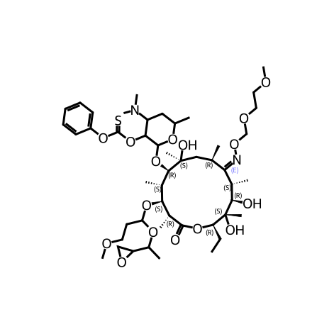 CC[C@H]1OC(=O)[C@H](C)[C@@H](OC(CCOC)OC(C)C2CO2)[C@H](C)[C@@H](OC2OC(C)CC(N(C)C)C2OC(=S)Oc2ccccc2)[C@@](C)(O)C[C@@H](C)/C(=N\OCOCCOC)[C@H](C)[C@@H](O)[C@]1(C)O